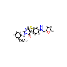 COc1ccccc1Cn1cnc2sc3c(c2c1=O)CCC(NCC1CCCO1)C3